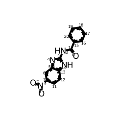 O=C(Nc1nc2cc([N+](=O)[O-])ccc2[nH]1)c1ccccc1